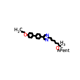 C=CCOc1ccc(-c2ccc(-c3cnc(/C=C/CCCC(C)OCCCCC)nc3)cc2)cc1